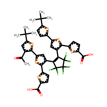 CC(=O)c1cc(C(C)(C)C)sc1-c1cc(C2=C(c3cc(-c4ccc(C(C)(C)C)s4)sc3-c3ccc(C(=O)O)s3)C(F)(F)C(F)(F)C2(F)F)c(-c2ccc(C(=O)O)s2)s1